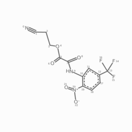 N#CCCOC(=O)C(=O)Nc1cc(C(F)(F)F)ccc1[N+](=O)[O-]